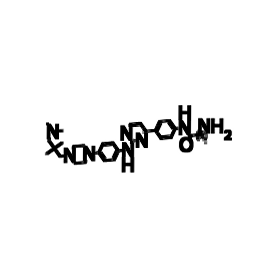 C[C@@H](N)C(=O)Nc1ccc(-c2ccnc(Nc3ccc(N4CCN(CC(C)(C)CN(C)C)CC4)cc3)n2)cc1